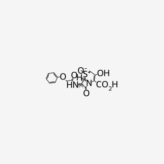 O=C(COc1ccccc1)N[C@@H]1C(=O)N2C(C(=O)O)=C(O)C[S+]([O-])[C@H]12